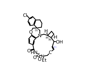 CCN1CC/C=C/C(O)[C@@H]2CC[C@H]2CN2C[C@@]3(CCCc4cc(Cl)ccc43)COc3ccc(cc32)C(=O)NS1(=O)=O